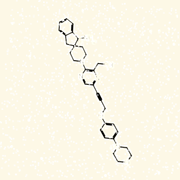 N[C@@H]1c2ccccc2CC12CCN(c1ncc(C#CCOc3ccc(N4CCOCC4)cc3)nc1CO)CC2